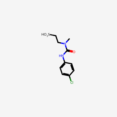 CN(CCS(=O)(=O)O)C(=O)Nc1ccc(Cl)cc1